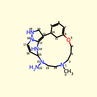 CN1CCCOC2=CC=CC(C2)C2=C3NC(C=CN3NC2)N(N)CC1